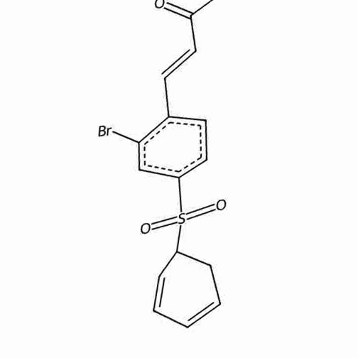 COC(=O)/C=C/c1ccc(S(=O)(=O)C2C=CC=CC2)cc1Br